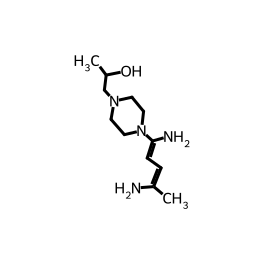 C/C(N)=C/C=C(\N)N1CCN(CC(C)O)CC1